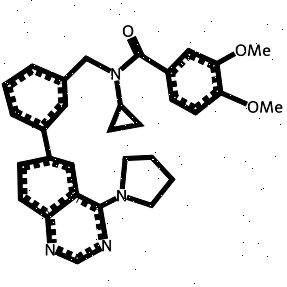 COc1ccc(C(=O)N(Cc2cccc(-c3ccc4ncnc(N5CCCC5)c4c3)c2)C2CC2)cc1OC